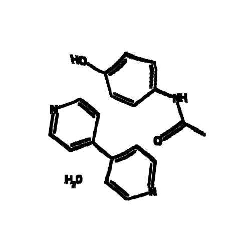 CC(=O)Nc1ccc(O)cc1.O.c1cc(-c2ccncc2)ccn1